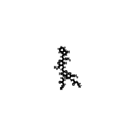 [N-]=[N+]=CC(=O)CC[C@H](NC(=O)[C@H](CCC(=O)C=[N+]=[N-])NC(=O)CC[C@H](NC(=O)[C@@H](N)Cc1c[nH]c2ccccc12)C(N)=O)C(N)=O